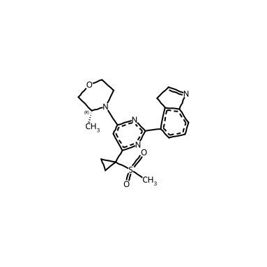 C[C@@H]1COCCN1c1cc(C2(S(C)(=O)=O)CC2)nc(-c2cccc3c2CC=N3)n1